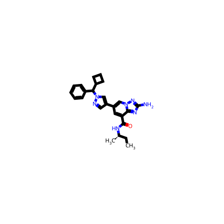 CC[C@H](C)NC(=O)c1cc(-c2cnn(C(c3ccccc3)C3CCC3)c2)cn2nc(N)nc12